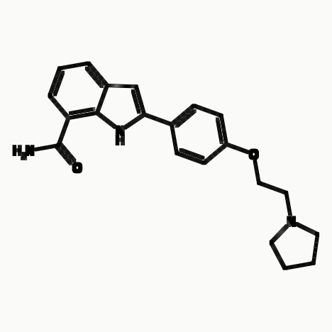 NC(=O)c1cccc2cc(-c3ccc(OCCN4CCCC4)cc3)[nH]c12